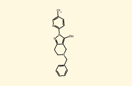 Oc1c2c(nn1-c1ccc(C(F)(F)F)cn1)CCN(Cc1ccccc1)C2